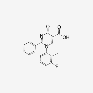 Cc1c(F)cccc1-n1cc(C(=O)O)c(=O)nc1-c1ccccc1